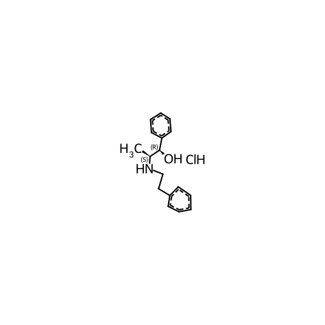 C[C@H](NCCc1ccccc1)[C@H](O)c1ccccc1.Cl